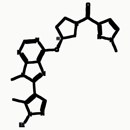 CCn1ncc(-c2nc3c(O[C@H]4CCN(C(=O)c5ccn(C)n5)C4)ncnc3n2C)c1C